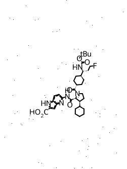 CC(C)(C)OC(=O)N[C@H](CCF)[C@H]1CC[C@H](C(=O)N2CC[C@@H](C3CCCCC3)[C@H]2C(=O)Nc2ccc3[nH]c(C(=O)O)cc3n2)CC1